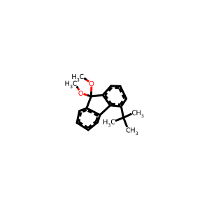 COC1(OC)c2ccccc2-c2c(C(C)(C)C)cccc21